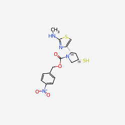 CNc1nc([C@@H]2C[C@H](S)CN2C(=O)OCc2ccc([N+](=O)[O-])cc2)cs1